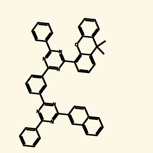 CC1(C)c2ccccc2Oc2c(-c3nc(-c4ccccc4)nc(-c4cccc(-c5nc(-c6ccccc6)nc(-c6ccc7ccccc7c6)n5)c4)n3)cccc21